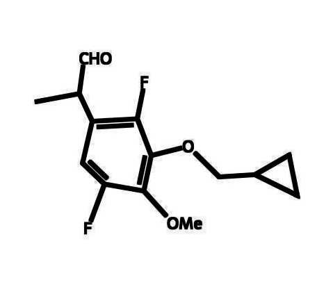 COc1c(F)cc(C(C)C=O)c(F)c1OCC1CC1